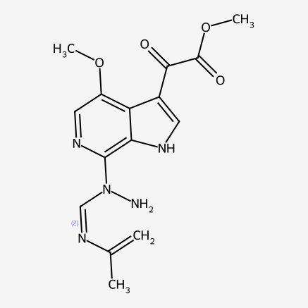 C=C(C)/N=C\N(N)c1ncc(OC)c2c(C(=O)C(=O)OC)c[nH]c12